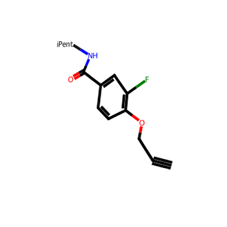 C#CCOc1ccc(C(=O)NC(C)CCC)cc1F